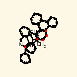 C=C1CC=NC(c2ccccc2)=NC1C1(C)C=CC=CC1c1ccccc1-c1ccccc1-c1ccc2c3ccccc3c3ccccc3c2c1